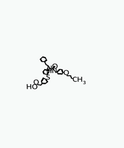 CCCCOc1ccc(NC(=O)N(CCc2ccccc2)c2cccc(Sc3ccc(CC(=O)O)cc3)c2)cc1